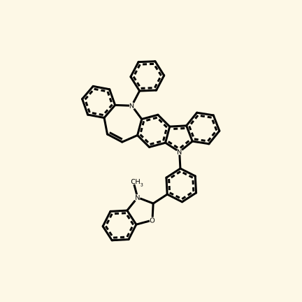 CN1c2ccccc2OC1c1cccc(-n2c3ccccc3c3cc4c(cc32)C=Cc2ccccc2N4c2ccccc2)c1